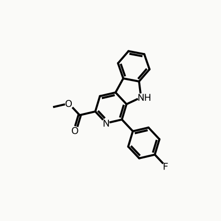 COC(=O)c1cc2c([nH]c3ccccc32)c(-c2ccc(F)cc2)n1